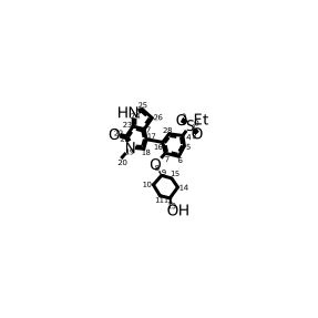 CCS(=O)(=O)c1ccc(O[C@H]2CC[C@H](O)CC2)c(-c2cn(C)c(=O)c3[nH]ccc23)c1